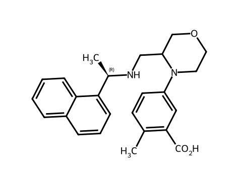 Cc1ccc(N2CCOCC2CN[C@H](C)c2cccc3ccccc23)cc1C(=O)O